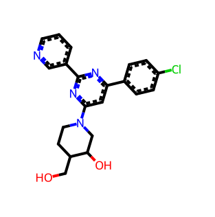 OCC1CCN(c2cc(-c3ccc(Cl)cc3)nc(-c3cccnc3)n2)CC1O